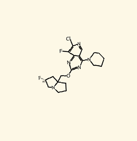 Fc1c(Cl)ncc2c(N3CCCCC3)nc(OCC34CCCN3C[C@H](F)C4)nc12